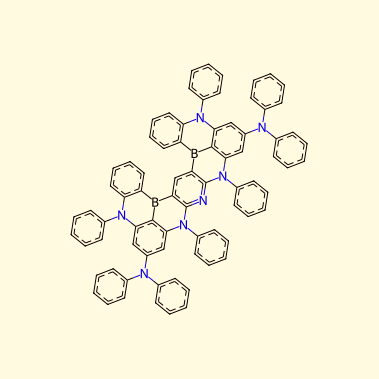 c1ccc(N(c2ccccc2)c2cc3c4c(c2)N(c2ccccc2)c2nc5c(cc2B4c2ccccc2N3c2ccccc2)B2c3ccccc3N(c3ccccc3)c3cc(N(c4ccccc4)c4ccccc4)cc(c32)N5c2ccccc2)cc1